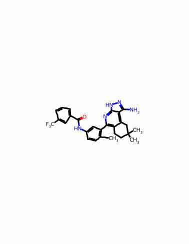 Cc1ccc(NC(=O)c2cccc(C(F)(F)F)c2)cc1-c1nc2[nH]nc(N)c2c2c1CCC(C)(C)C2